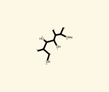 COC(C)C(C)C(O)C(O)C(C)CO